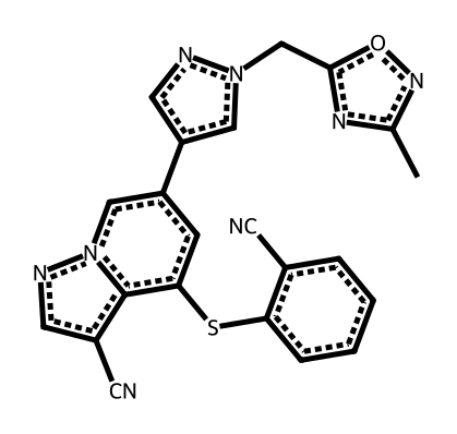 Cc1noc(Cn2cc(-c3cc(Sc4ccccc4C#N)c4c(C#N)cnn4c3)cn2)n1